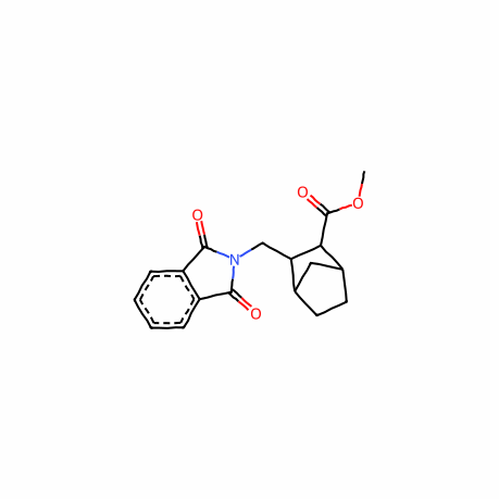 COC(=O)C1C2CCC(C2)C1CN1C(=O)c2ccccc2C1=O